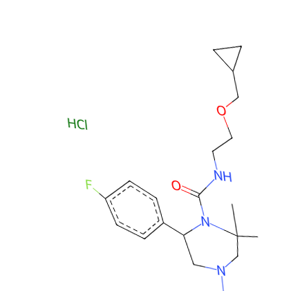 CN1CC(c2ccc(F)cc2)N(C(=O)NCCOCC2CC2)C(C)(C)C1.Cl